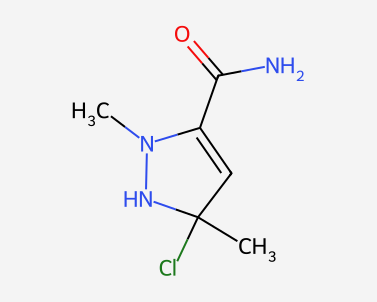 CN1NC(C)(Cl)C=C1C(N)=O